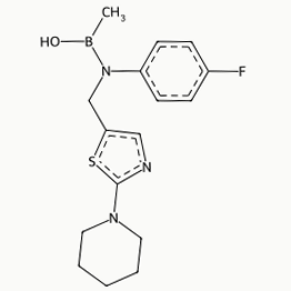 CB(O)N(Cc1cnc(N2CCCCC2)s1)c1ccc(F)cc1